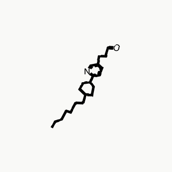 CCCCCCCC1CCC(c2ccc(CCC=O)cn2)CC1